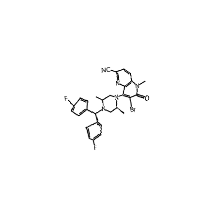 CC1CN(c2c(Br)c(=O)n(C)c3ccc(C#N)nc23)[C@@H](C)CN1C(c1ccc(F)cc1)c1ccc(F)cc1